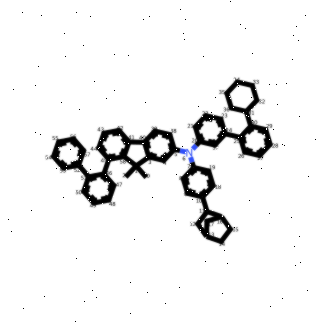 CC1(C)c2cc(N(c3ccc(C4CC5CCC4C5)cc3)c3cccc(-c4ccccc4C4CCCCC4)c3)ccc2-c2cccc(-c3ccccc3-c3ccccc3)c21